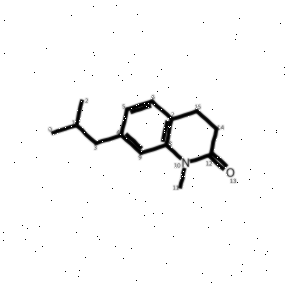 CC(C)Cc1ccc2c(c1)N(C)C(=O)CC2